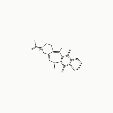 C=C(C)[C@H]1CCC2=C(C)c3c(c(=C)c4ccccc4c3=C)C(C)C=C2C1